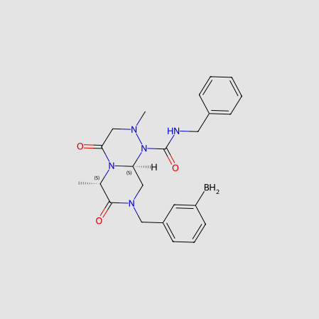 Bc1cccc(CN2C[C@H]3N(C(=O)CN(C)N3C(=O)NCc3ccccc3)[C@@H](C)C2=O)c1